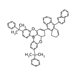 CC(C)(c1ccccc1)c1ccc2c(c1)OC1=C3B2c2ccc(C(C)(C)c4ccccc4)cc2OC3CC(c2c3c(c(-c4ccc5ccccc5c4)c4ccccc24)C=CCC3)=C1